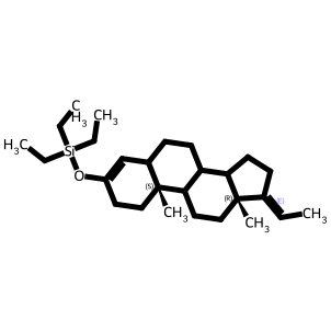 C/C=C1\CCC2C3CCC4C=C(O[Si](CC)(CC)CC)CC[C@@]4(C)C3CC[C@@]12C